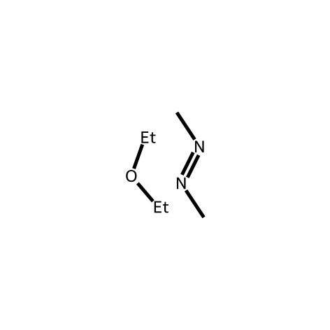 CCOCC.CN=NC